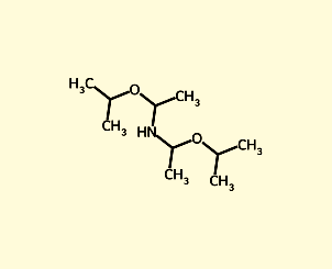 CC(C)OC(C)NC(C)OC(C)C